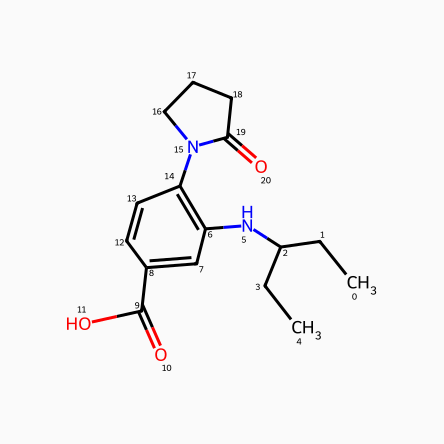 CCC(CC)Nc1cc(C(=O)O)ccc1N1CCCC1=O